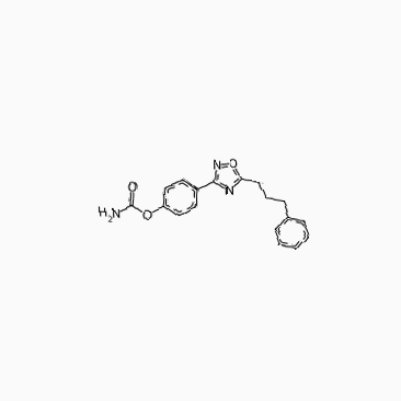 NC(=O)Oc1ccc(-c2noc([CH]CCc3ccccc3)n2)cc1